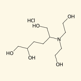 Cl.OCCN(CCO)C(CO)CCC(O)CO